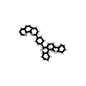 c1cnc2c(c1)ccc1ccc(-c3ccc(-c4nc5ccccc5c5c4ccc4c6ccccc6oc45)cc3)nc12